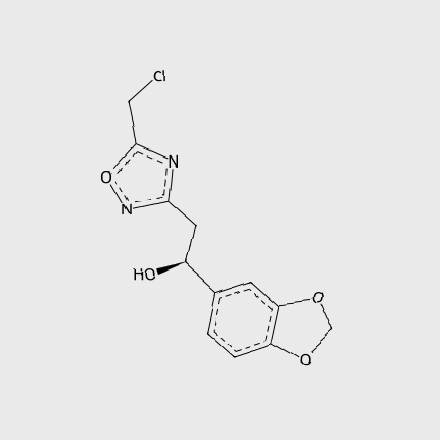 O[C@@H](Cc1noc(CCl)n1)c1ccc2c(c1)OCO2